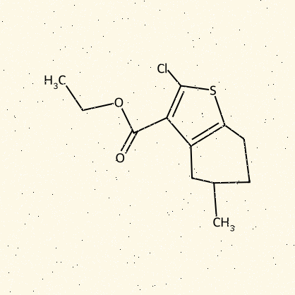 CCOC(=O)c1c(Cl)sc2c1CC(C)CC2